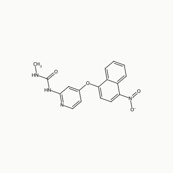 CNC(=O)Nc1cc(Oc2ccc([N+](=O)[O-])c3ccccc23)ccn1